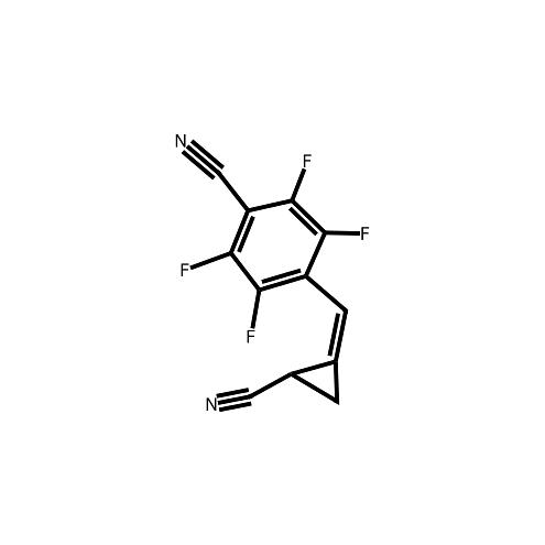 N#Cc1c(F)c(F)c(C=C2CC2C#N)c(F)c1F